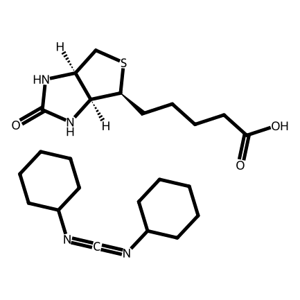 C(=NC1CCCCC1)=NC1CCCCC1.O=C(O)CCCC[C@@H]1SC[C@@H]2NC(=O)N[C@@H]21